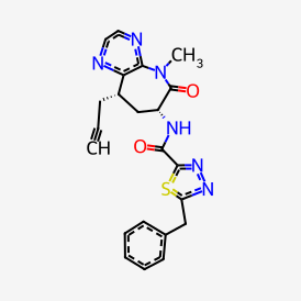 C#CC[C@H]1C[C@@H](NC(=O)c2nnc(Cc3ccccc3)s2)C(=O)N(C)c2nccnc21